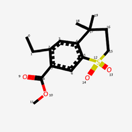 CCc1cc2c(cc1C(=O)OC)S(=O)(=O)CCC2(C)C